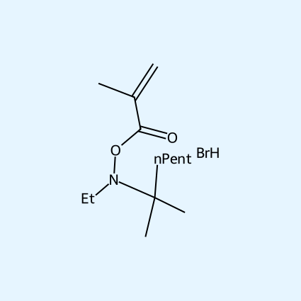 Br.C=C(C)C(=O)ON(CC)C(C)(C)CCCCC